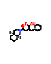 O=C(O)C(CC(=O)N1CC[C@H]2CCCC[C@@H]2C1)Cc1ccccc1